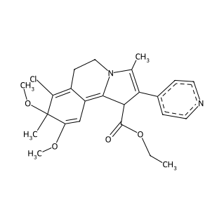 CCOC(=O)C1C(c2ccncc2)=C(C)N2CCC3=C(Cl)C(C)(OC)C(OC)=CC3=C12